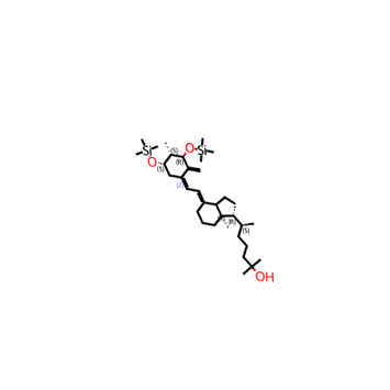 C=C1/C(=C\C=C2CCC[C@@]3(C)C2CC[C@@H]3[C@@H](C)CCCC(C)(C)O)C[C@H](O[Si](C)(C)C)[C@H](C)[C@H]1O[Si](C)(C)C